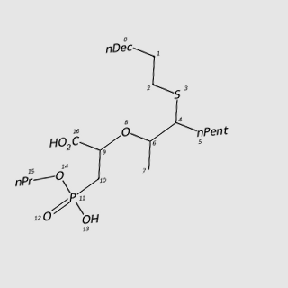 CCCCCCCCCCCCSC(CCCCC)C(C)OC(CP(=O)(O)OCCC)C(=O)O